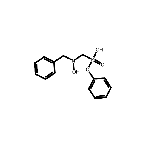 O=P(O)(CN(O)Cc1ccccc1)Oc1ccccc1